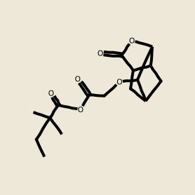 CCC(C)(C)C(=O)OC(=O)COC1C2CC3C(=O)OC1C3C2